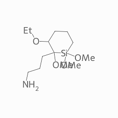 CCOC1CCC[Si](OC)(OC)C1(CCCN)OC